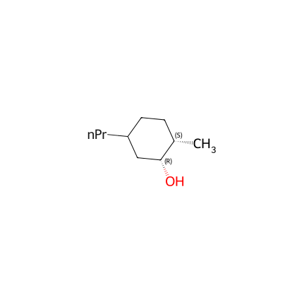 CCCC1CC[C@H](C)[C@H](O)C1